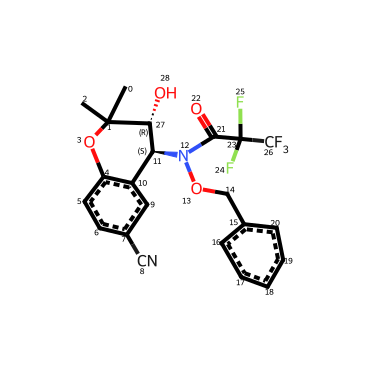 CC1(C)Oc2ccc(C#N)cc2[C@H](N(OCc2ccccc2)C(=O)C(F)(F)C(F)(F)F)[C@H]1O